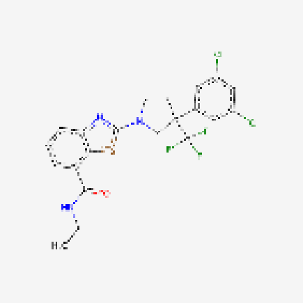 CCNC(=O)c1cccc2nc(N3CCC(c4cc(Cl)cc(Cl)c4)(C(F)(F)F)C3)sc12